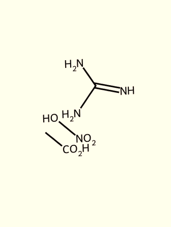 CC(=O)O.N=C(N)N.O=[N+]([O-])O